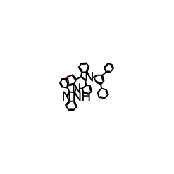 C1=CCC(c2cc(-c3ccccc3)cc(N3c4ccccc4C4c5ccccc5N(C5Nc6ccccc6N=C5c5ccccc5)C5C=CC=CC5C43)c2)C=C1